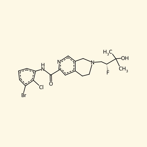 CC(C)(O)[C@H](F)CN1CCc2cc(C(=O)Nc3cccc(Br)c3Cl)ncc2C1